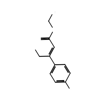 CCOC(=O)C=C(CBr)c1ccc(F)cc1